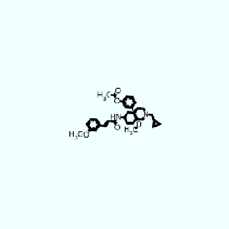 COc1cccc(C=CC(=O)N[C@@H]2CC[C@]3(OC)CN(CC4CC4)CC[C@@]3(c3cccc(OC(C)=O)c3)C2)c1